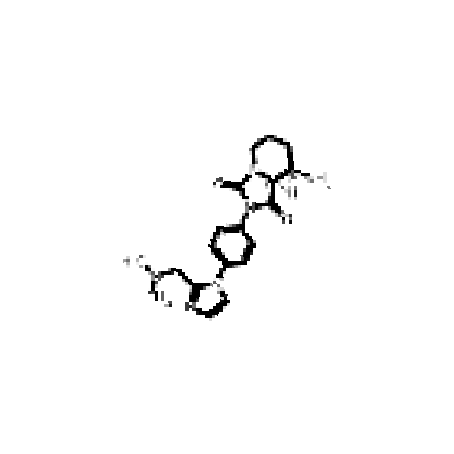 CN(C)Cc1nccn1-c1ccc(N2C(=O)[C@@H]3[C@H](N)CCCN3C2=O)cc1